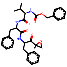 CC(C)[C@@H](NC(=O)OCc1ccccc1)C(=O)NC(Cc1ccccc1)C(=O)NC(Cc1ccccc1)C(=O)C1(C)CO1